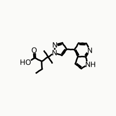 CCC(C(=O)O)C(C)(C)n1cc(-c2ccnc3[nH]ccc23)cn1